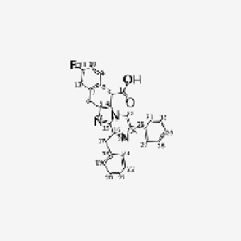 O=C(O)Cc1c(Cc2cccc(F)c2)nc2c(Cc3ccccc3)nc(-c3ccccc3)cn12